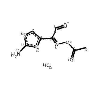 CC(=O)O/N=C(\[C]=O)c1csc(N)n1.Cl